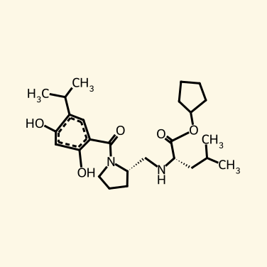 CC(C)C[C@H](NC[C@@H]1CCCN1C(=O)c1cc(C(C)C)c(O)cc1O)C(=O)OC1CCCC1